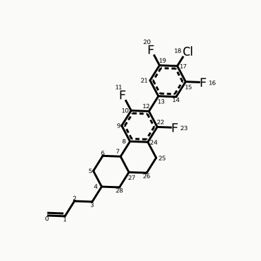 C=CCCC1CCC2c3cc(F)c(-c4cc(F)c(Cl)c(F)c4)c(F)c3CCC2C1